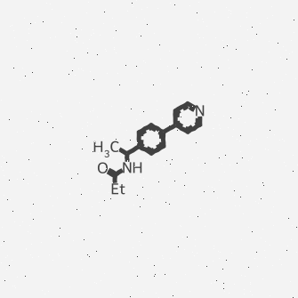 CCC(=O)NC(C)c1ccc(-c2ccncc2)cc1